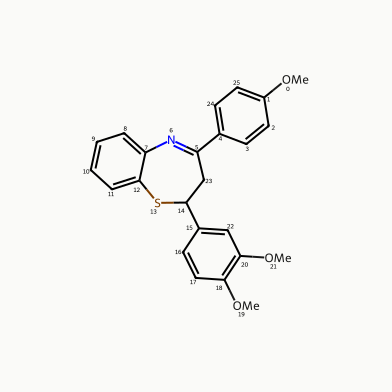 COc1ccc(C2=Nc3ccccc3SC(c3ccc(OC)c(OC)c3)C2)cc1